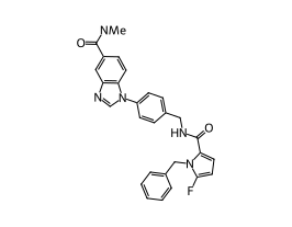 CNC(=O)c1ccc2c(c1)ncn2-c1ccc(CNC(=O)c2ccc(F)n2Cc2ccccc2)cc1